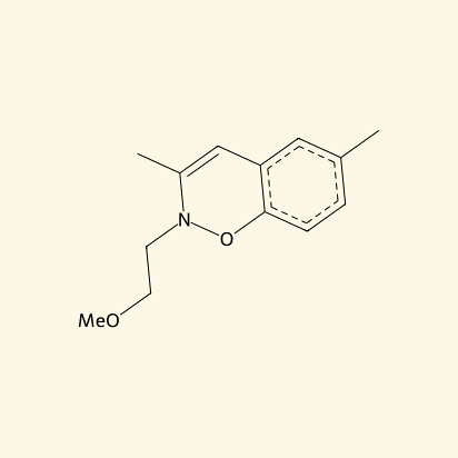 COCCN1Oc2ccc(C)cc2C=C1C